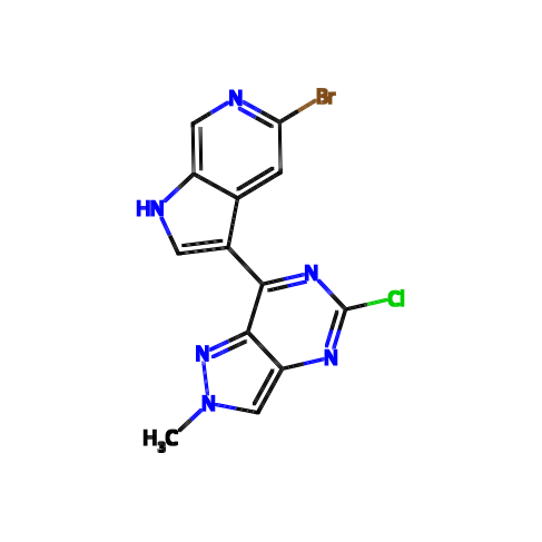 Cn1cc2nc(Cl)nc(-c3c[nH]c4cnc(Br)cc34)c2n1